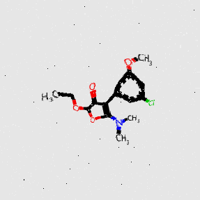 CCOC1OC(N(C)C)=C(c2cc(Cl)cc(OC)c2)C1=O